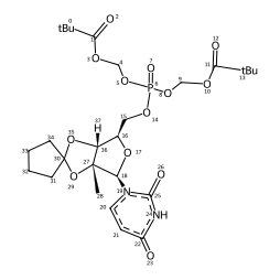 CC(C)(C)C(=O)OCOP(=O)(OCOC(=O)C(C)(C)C)OC[C@H]1O[C@@H](n2ccc(=O)[nH]c2=O)[C@]2(C)OC3(CCCC3)O[C@H]12